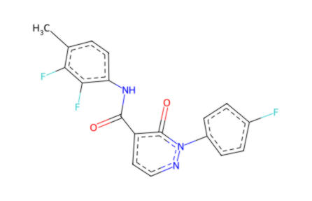 Cc1ccc(NC(=O)c2ccnn(-c3ccc(F)cc3)c2=O)c(F)c1F